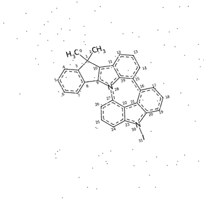 CC1(C)c2ccccc2-c2c1c1cccc3c4cccc5c4c4c(cccc4n2c13)n5I